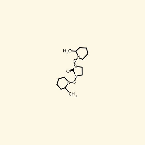 CC1CCCCN1SN1CCN(SN2CCCCC2C)C1=O